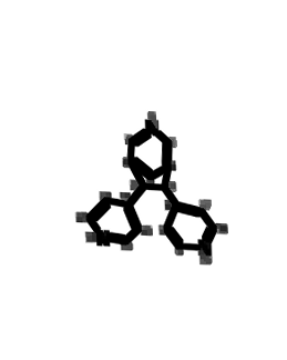 c1cc(C2c3cncc(c3)C2c2ccncc2)ccn1